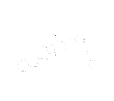 O=C(O)CCc1csc(SC2=C(C(=O)O)N3C(=O)[C@@H](NC(=O)Cc4ccccc4)[C@H]3SC2)n1